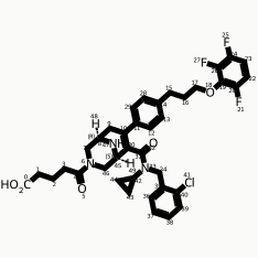 O=C(O)CCCC(=O)N1C[C@H]2CC(c3ccc(CCCOc4c(F)ccc(F)c4F)cc3)=C(C(=O)N(Cc3ccccc3Cl)C3CC3)[C@@H](C1)N2